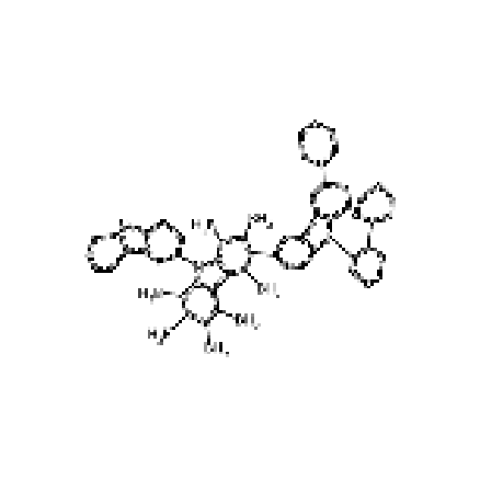 Bc1c(B)c(B)c2c(c1B)c1c(B)c(-c3ccc4c(c3)c3cc(-c5ccccc5)ccc3n4-c3ccccc3-c3ccccc3)c(B)c(B)c1n2-c1ccc2oc3ccccc3c2c1